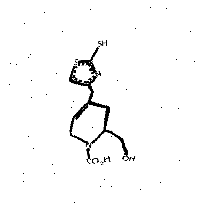 O=C(O)N1CC=C(c2csc(S)n2)C[C@H]1CO